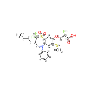 CCCCC1CN(c2ccccc2)c2cc(SC)c(O/C=C(\F)C(=O)O)cc2S(=O)(=O)C1(F)F